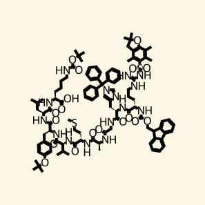 CSCC[C@H](NC(=O)[C@H](C)NC(=O)CNC(=O)[C@H](Cc1cn(C(c2ccccc2)(c2ccccc2)c2ccccc2)cn1)NC(=O)[C@H](CCCNC(=N)NS(=O)(=O)c1c(C)c(C)c2c(c1C)CC(C)(C)O2)NC(=O)OCC1c2ccccc2-c2ccccc21)C(=O)N[C@H](C(=O)N[C@@H](Cc1ccc(OC(C)(C)C)cc1)C(=O)N[C@@H](CC(C)C)C(=O)N[C@@H](CCCCNC(=O)OC(C)(C)C)C(=O)O)C(C)C